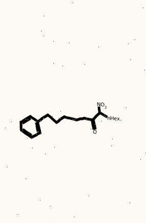 CCCCCCC(C(=O)CCCCCc1ccccc1)[N+](=O)[O-]